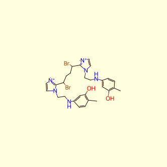 Cc1ccc(NCCN2C=C[N+]=C2C(Br)CCC(Br)C2=[N+]C=CN2CCNc2ccc(C)c(O)c2)cc1O